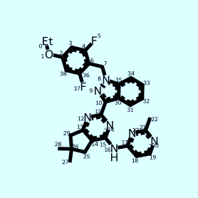 CCOc1cc(F)c(Cn2nc(-c3nc4c(c(Nc5ccnc(C)n5)n3)CC(C)(C)C4)c3ccccc32)c(F)c1